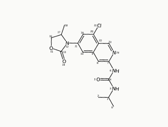 CC(C)NC(=O)Nc1cc2cc(N3C(=O)OCC3C)cc(Cl)c2cn1